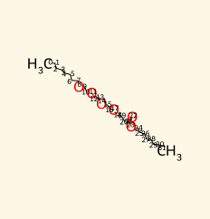 CCCCCCCCOCCOCCOCCOCCCC(=O)OCCCCCCCC